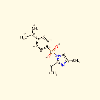 CCc1nc(C)cn1S(=O)(=O)c1ccc(C(C)C)cc1